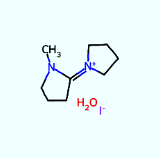 CN1CCCC1=[N+]1CCCC1.O.[I-]